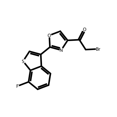 O=C(CBr)c1coc(-c2csc3c(F)cccc23)n1